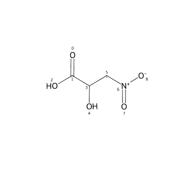 O=C(O)C(O)[CH][N+](=O)[O-]